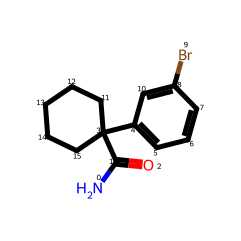 NC(=O)C1(c2cccc(Br)c2)CCCCC1